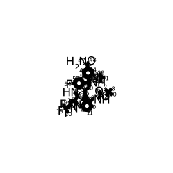 CC(C)(C)OC(=O)NCc1cccc(-n2nc(C(F)(F)F)cc2C(=O)Nc2cc(C(CCC3CC3)(N[S@+]([O-])C(C)(C)C)c3ccc(C(N)=O)cc3)ccc2F)c1